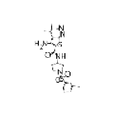 Cc1cccc(S(=O)(=O)N2CCC(NC(=O)c3sc4nnc(C)c(C)c4c3N)C2)c1